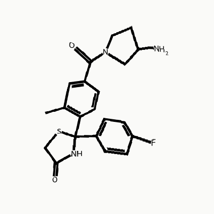 Cc1cc(C(=O)N2CCC(N)C2)ccc1C1(c2ccc(F)cc2)NC(=O)CS1